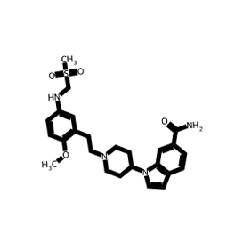 COc1ccc(NCS(C)(=O)=O)cc1CCN1CCC(n2ccc3ccc(C(N)=O)cc32)CC1